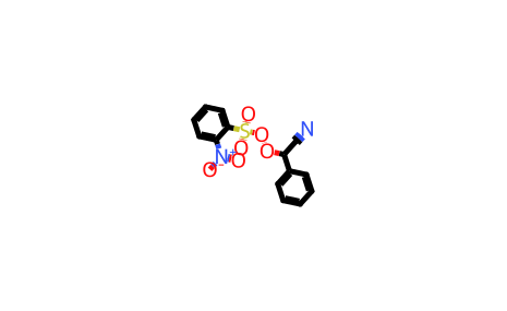 N#CC(OOS(=O)(=O)c1ccccc1[N+](=O)[O-])c1ccccc1